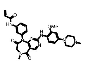 C=CC(=O)Nc1cccc(N2C(=O)CN(C)C(=O)c3cnc(Nc4ccc(N5CCN(C)CC5)cc4OC)nc32)c1